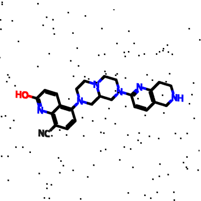 N#Cc1ccc(N2CCN3CCN(c4ccc5c(n4)CCNC5)CC3C2)c2ccc(O)nc12